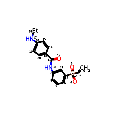 C=CS(=O)(=O)c1cccc(NC(=O)c2ccc(NCC)cc2)c1